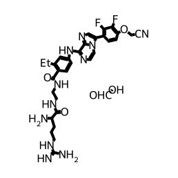 CCc1cc(Nc2nccn3c(-c4ccc(OCC#N)c(F)c4F)cnc23)ccc1C(=O)NCCNC(=O)C(N)CCCNC(=N)N.O=CO